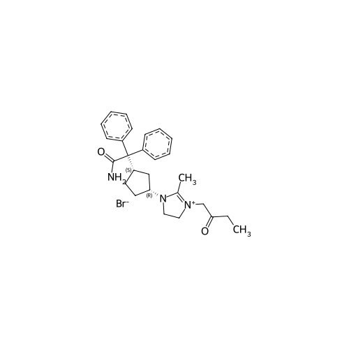 CCC(=O)C[N+]1=C(C)N([C@@H]2CC[C@H](C(C(N)=O)(c3ccccc3)c3ccccc3)C2)CC1.[Br-]